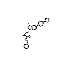 C[C@@H]1C[C@@H](CCN(C)C(=O)OCc2ccccc2)c2ccc(N3CCN(C4CCCC4)CC3)cc21